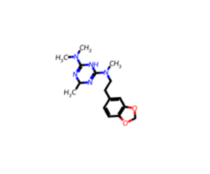 CC1N=C(N(C)C)NC(N(C)CCc2ccc3c(c2)OCO3)=N1